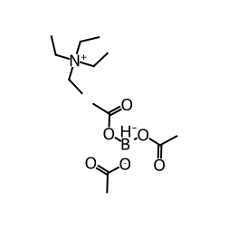 CC(=O)O[BH-](OC(C)=O)OC(C)=O.CC[N+](CC)(CC)CC